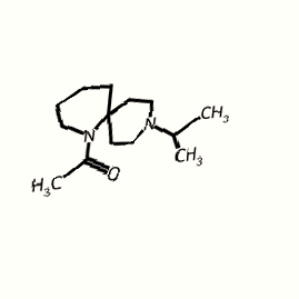 CC(=O)N1CCCCC12CCN(C(C)C)CC2